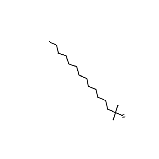 CCCCCCCCCCCCCC(C)(C)[S]